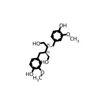 COc1cc(C[C@@H](CO)[C@@H](CO)Cc2ccc(O)c(OC)c2)ccc1O